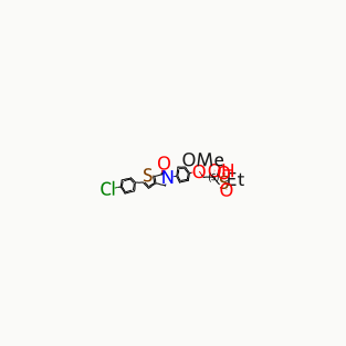 CCS(=O)(=O)C[C@@H](O)COc1ccc(N2Cc3cc(-c4ccc(Cl)cc4)sc3C2=O)cc1OC